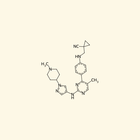 Cc1cnc(Nc2cnn(C3CCN(C)CC3)c2)nc1-c1ccc(NCC2(C#N)CC2)cc1